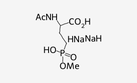 COP(=O)(O)CCC(NC(C)=O)C(=O)O.[NaH].[NaH]